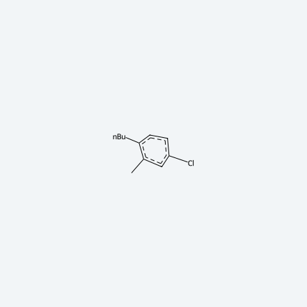 CCCCc1ccc(Cl)cc1C